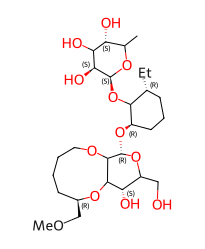 CC[C@@H]1CCC[C@@H](O[C@@H]2OC(CO)[C@H](O)C3O[C@@H](COC)CCCCOC32)C1O[C@@H]1OC(C)[C@@H](O)C(O)[C@@H]1O